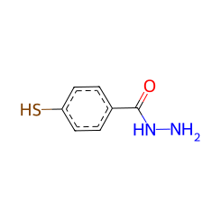 NNC(=O)c1ccc(S)cc1